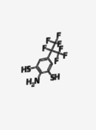 Nc1c(S)cc(C(F)(C(F)(F)F)C(F)(F)F)cc1S